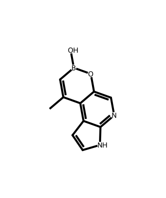 CC1=CB(O)Oc2cnc3[nH]ccc3c21